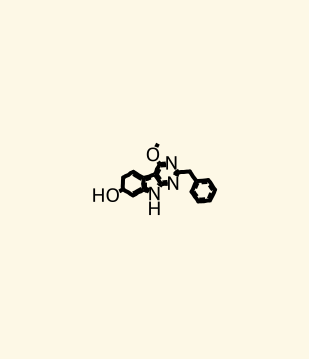 COc1nc(Cc2ccccc2)nc2[nH]c3c(c12)=CCC(O)C=3